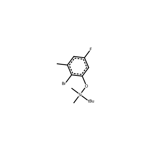 Cc1cc(F)cc(O[Si](C)(C)C(C)(C)C)c1Br